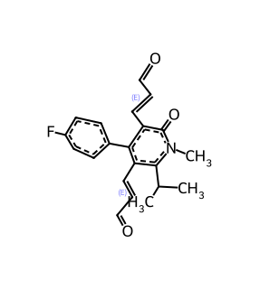 CC(C)c1c(/C=C/C=O)c(-c2ccc(F)cc2)c(/C=C/C=O)c(=O)n1C